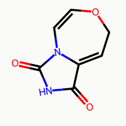 O=C1NC(=O)N2C=COCC=C12